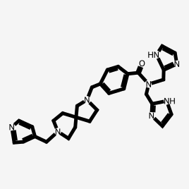 O=C(c1ccc(CN2CCC3(CCN(Cc4ccncc4)CC3)C2)cc1)N(Cc1ncc[nH]1)Cc1ncc[nH]1